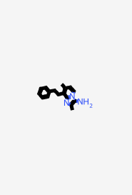 Cc1ccn2c(N)c(C)nc2c1CCc1ccccc1